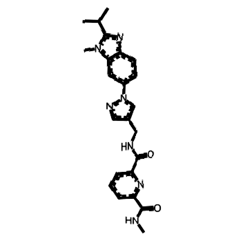 CNC(=O)c1cccc(C(=O)NCc2cnn(-c3ccc4nc(C(C)C)n(C)c4c3)c2)n1